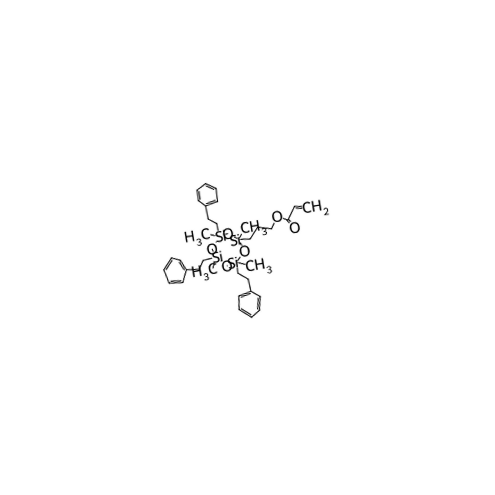 C=CC(=O)OCCC[Si]1(C)O[Si](C)(CCc2ccccc2)O[Si](C)(CCc2ccccc2)O[Si](C)(CCc2ccccc2)O1